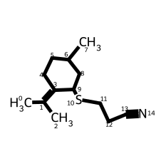 CC(C)=C1CCC(C)CC1SCCC#N